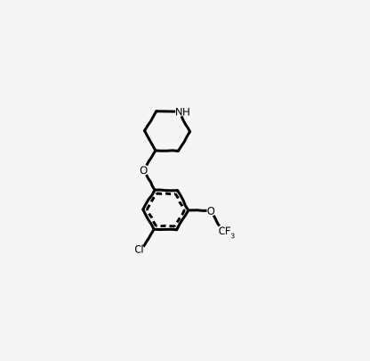 FC(F)(F)Oc1cc(Cl)cc(OC2CCNCC2)c1